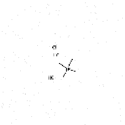 C[N+](C)(C)C.Cl.Cl.[Cl-]